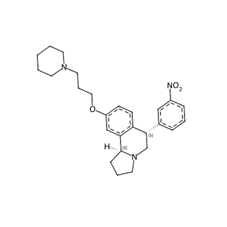 O=[N+]([O-])c1cccc([C@@H]2CN3CCC[C@H]3c3cc(OCCCN4CCCCC4)ccc32)c1